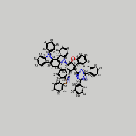 N#Cc1cc(-n2c3ccccc3c3c2c(-c2ccc4sc5ccccc5c4c2)cc2c4ccccc4n(-c4ccccc4)c23)c2oc3ccccc3c2c1-c1nc(-c2ccccc2)nc(-c2ccccc2)n1